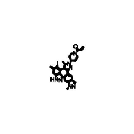 C=CC(=O)N1CCC(n2nc(-c3ccc4c(cnn4C)c3)c(-c3c(I)c(C)cc4[nH]ncc34)c2C)CC1